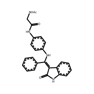 CC(=O)NCC(=O)Nc1ccc(NC(=C2C(=O)Nc3ccccc32)c2ccccc2)cc1